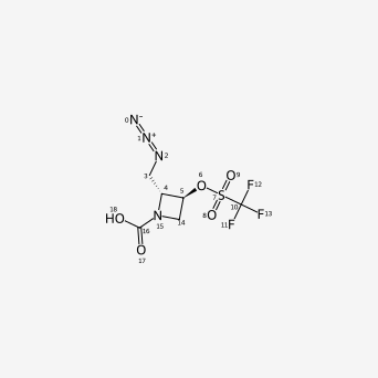 [N-]=[N+]=NC[C@@H]1[C@@H](OS(=O)(=O)C(F)(F)F)CN1C(=O)O